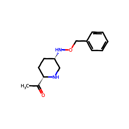 CC(=O)[C@@H]1CC[C@H](NOCc2ccccc2)CN1